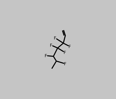 C=CC(F)(F)C(F)(F)C(F)C(C)F